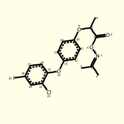 CC(C)=NOC(=O)C(C)Oc1ccc(Oc2ccc(I)cc2Cl)cc1